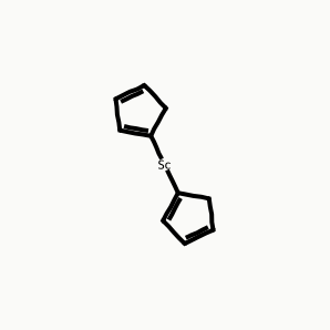 C1=CC[C]([Sc][C]2=CC=CC2)=C1